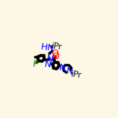 Cc1ccc(-c2nc3ccc(N4CCCN(C(C)C)CC4)cc3c(=O)n2CC(=O)NC(C)C)cc1F